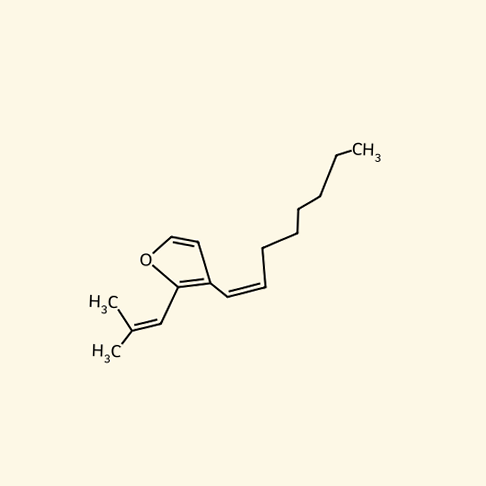 CCCCCC/C=C\c1ccoc1C=C(C)C